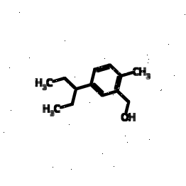 CCC(CC)c1ccc(C)c(CO)c1